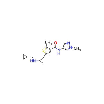 Cc1sc(C2CC2NCC2CC2)cc1C(=O)Nc1cnn(C)c1